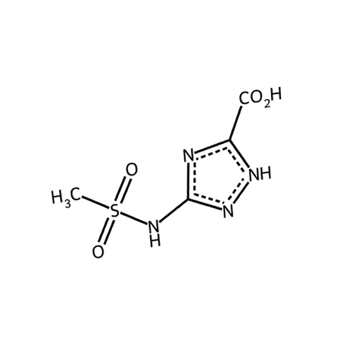 CS(=O)(=O)Nc1n[nH]c(C(=O)O)n1